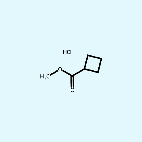 COC(=O)C1CCC1.Cl